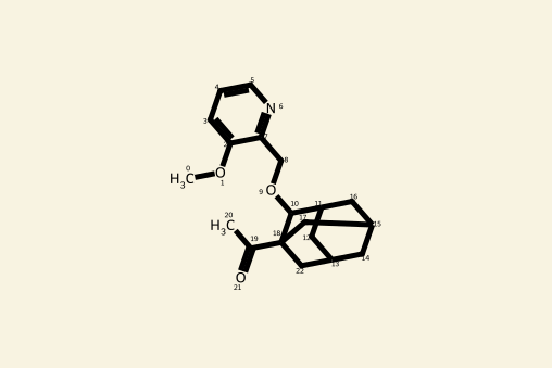 COc1cccnc1COC1C2CC3CC(C2)CC1(C(C)=O)C3